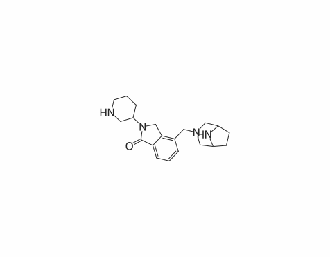 O=C1c2cccc(CN3CC4CCC(C3)N4)c2CN1C1CCCNC1